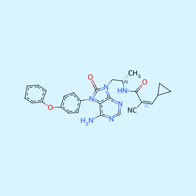 C[C@@H](Cn1c(=O)n(-c2ccc(Oc3ccccc3)cc2)c2c(N)ncnc21)NC(=O)/C(C#N)=C\C1CC1